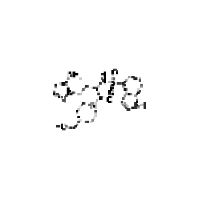 Nc1ccnn1CCC(NS(=O)(=O)c1cccc2[nH]ccc12)C(=O)N1CCC(CO)CC1